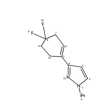 CC(C)n1ccc(C2=CCC(F)(F)CC2)n1